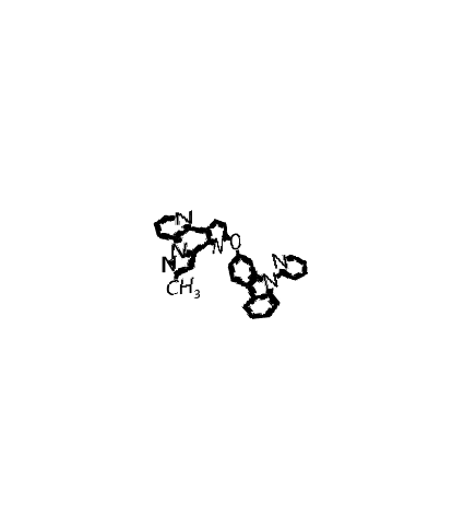 Cc1cc2c3nc(Oc4ccc5c6ccccc6n(-c6ccccn6)c5c4)ccc3c3ncccc3n2n1